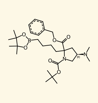 CN(C)[C@H]1CN(C(=O)OC(C)(C)C)C(CCCCB2OC(C)(C)C(C)(C)O2)(C(=O)OCc2ccccc2)C1